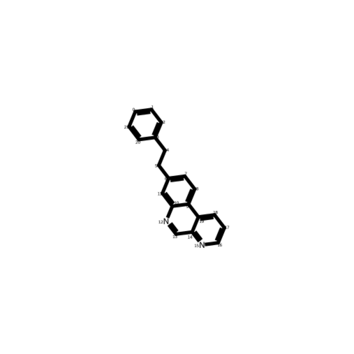 c1ccc(CCc2ccc3c(c2)ncc2ncccc23)cc1